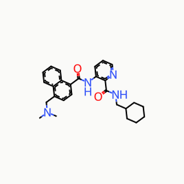 CN(C)Cc1ccc(C(=O)Nc2cccnc2C(=O)NCC2CCCCC2)c2ccccc12